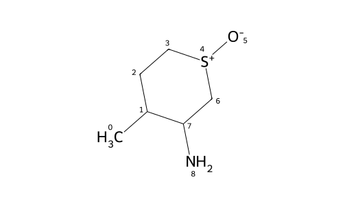 CC1CC[S+]([O-])CC1N